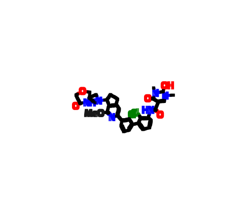 COc1nc(-c2cccc(-c3cccc(NC(=O)C4=CN(C)C(O)N(C)C4=O)c3Cl)c2Cl)cc2c1C(N1CC3(COCC(=O)N3)C1)CC2